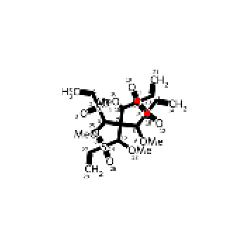 C=CS(=O)(=O)C(OC)C(C(OC)S(=O)(=O)C=C)(C(OC)S(=O)(=O)C=C)C(OC)S(=O)(=O)C=C